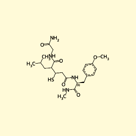 CNC(=O)[C@H](Cc1ccc(OC)cc1)NC(=O)CC(S)C(CC(C)C)C(=O)NCC(N)=O